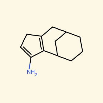 NC1=CCC2=C1C1CCCC(C2)C1